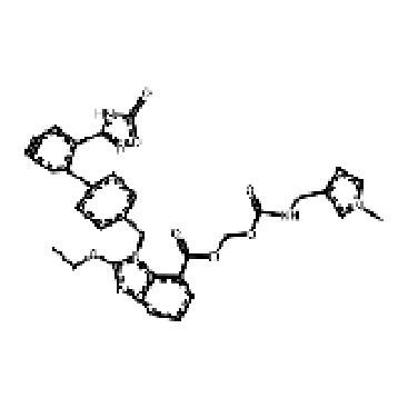 CCOc1nc2cccc(C(=O)OCOC(=O)NCc3ccn(C)c3)c2n1Cc1ccc(-c2cc#ccc2-c2noc(=O)[nH]2)cc1